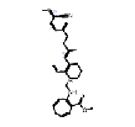 C=CC1=C(/C=C(\C)CCC(=C)/C=C\C(C#N)=C/C)CCC[C@H]1CNC1=C(C(=O)OC)C=CCC=C1